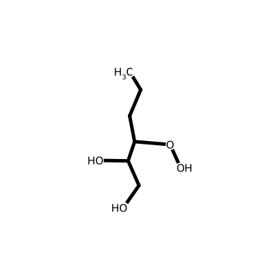 CCCC(OO)C(O)CO